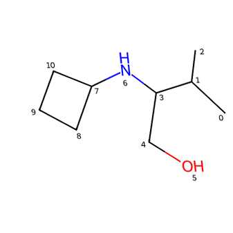 CC(C)C(CO)NC1CCC1